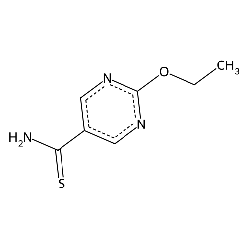 CCOc1ncc(C(N)=S)cn1